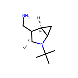 C[C@@H]1C(CN)[C@H]2CC2N1C(C)(C)C